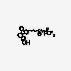 [O-][S+](CCCCCc1ccc(C2=C(c3ccccc3)CCCc3cc(O)ccc32)cc1)CCCC(F)(F)C(F)(F)F